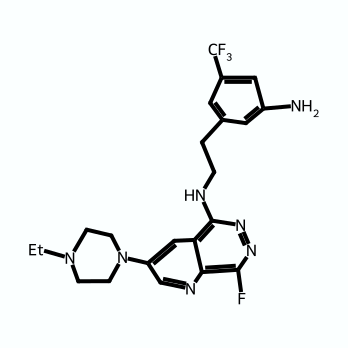 CCN1CCN(c2cnc3c(F)nnc(NCCc4cc(N)cc(C(F)(F)F)c4)c3c2)CC1